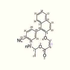 CCCC(I)OC(=O)/C=C\Oc1ccc2ccccc2c1-c1ccc(C#N)cc1